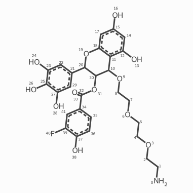 NCCOCCOCCOC1c2c(O)cc(O)cc2OC(c2cc(O)c(O)c(O)c2)C1OC(=O)c1ccc(O)c(F)c1